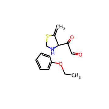 C=C1SCNC1C(=O)C=O.CCOc1ccccc1